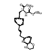 COC(=O)[C@H](Cc1ccc(C=CCc2ccc3c(n2)NCCO3)cc1)NC(=O)OC(C)(C)C